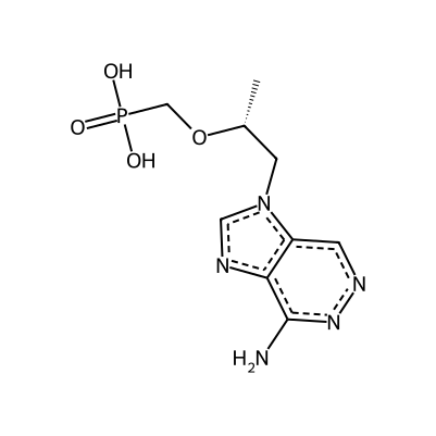 C[C@H](Cn1cnc2c(N)nncc21)OCP(=O)(O)O